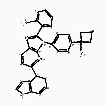 Nc1ncccc1-c1nc2ccc(C3CC=Cc4[nH]ccc43)nc2n1-c1ccc(C2(N)CCC2)cc1